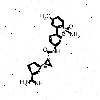 Cc1ccc(S(N)(=O)=O)c(-c2ccc(NC(=O)[C@@H]3C[C@H]3c3cccc(C(=N)N)c3)cc2)c1